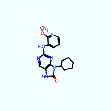 COc1ncccc1Nc1ncc2[nH]c(=O)n(C3CCCCC3)c2n1